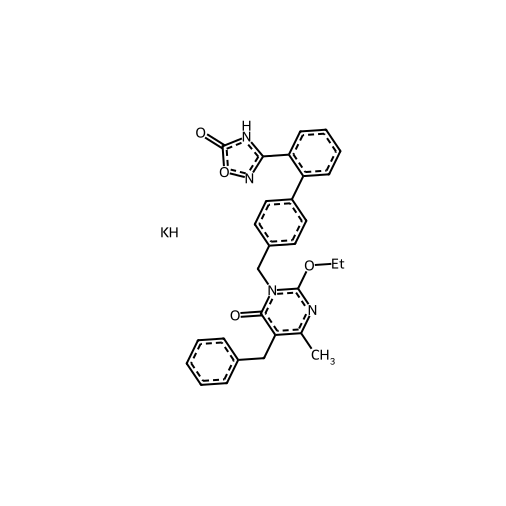 CCOc1nc(C)c(Cc2ccccc2)c(=O)n1Cc1ccc(-c2ccccc2-c2noc(=O)[nH]2)cc1.[KH]